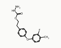 Cc1ccc(Oc2ccc(CCOC(=O)NN)cc2)cc1F